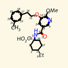 CC[C@H]1CC[C@](NC(=O)c2cnc(OC)c(OCCc3cccc(C)c3)c2)(C(=O)O)CC1